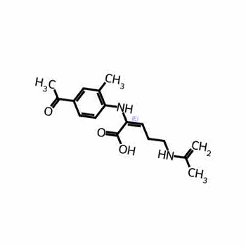 C=C(C)NCC/C=C(/Nc1ccc(C(C)=O)cc1C)C(=O)O